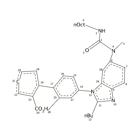 CCCCCCCCNC(=O)N(C)c1ccc2nc(CCCC)n(-c3ccc(-c4ccccc4C(=O)O)c(C)c3)c2c1